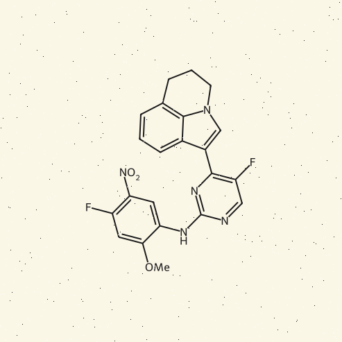 COc1cc(F)c([N+](=O)[O-])cc1Nc1ncc(F)c(-c2cn3c4c(cccc24)CCC3)n1